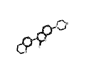 O=c1oc2cc(N3CCNCC3)ccc2cc1-c1ccc2c(c1)OCCC2